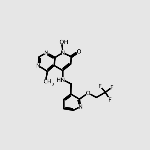 Cc1ncnc2c1c(NCc1cccnc1OCC(F)(F)F)cc(=O)n2O